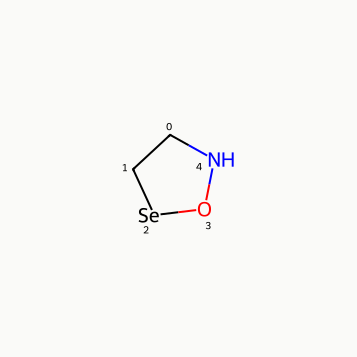 C1C[Se]ON1